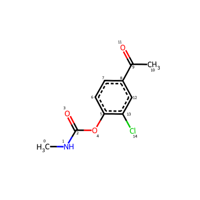 CNC(=O)Oc1ccc(C(C)=O)cc1Cl